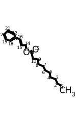 CCCCCCCCCCCC(=O)OCC=Cc1ccccc1